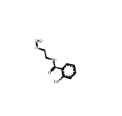 O=[C]NCCNC(=O)c1ccccc1O